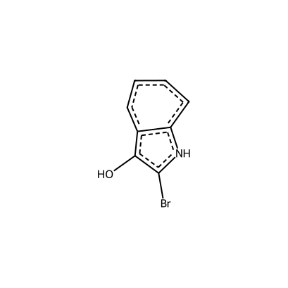 Oc1c(Br)[nH]c2ccccc12